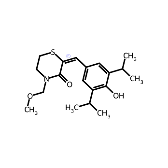 COCN1CCS/C(=C/c2cc(C(C)C)c(O)c(C(C)C)c2)C1=O